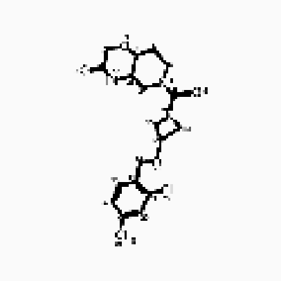 O=C1COC2CCN(C(=O)N3CC(OCc4ccc(C(F)(F)F)cc4Cl)C3)CC2N1